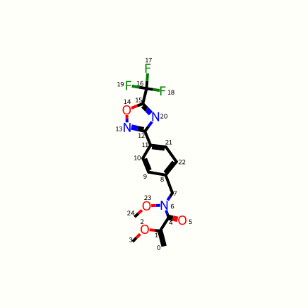 C=C(OC)C(=O)N(Cc1ccc(-c2noc(C(F)(F)F)n2)cc1)OC